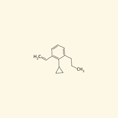 C=Cc1cccc(CCC)c1C1CC1